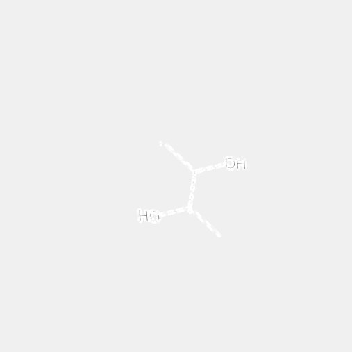 [CH2]C(O)[C](C)O